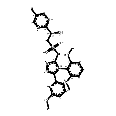 COc1cccc(-c2nnc(NS(=O)(=O)C[C@H](O)c3ncc(C)cn3)n2-c2c(OC)cccc2OC)n1